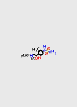 C.CCCCCCCCCCN(CC)CC(O)c1ccc(NS(N)(=O)=O)cc1